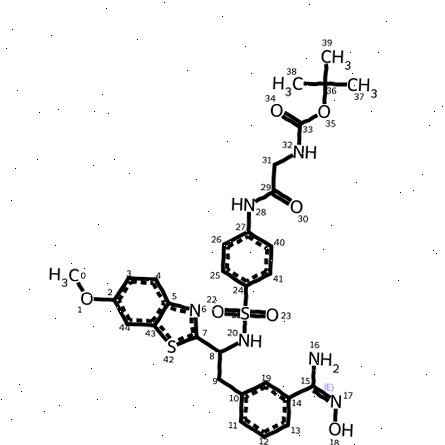 COc1ccc2nc(C(Cc3cccc(/C(N)=N\O)c3)NS(=O)(=O)c3ccc(NC(=O)CNC(=O)OC(C)(C)C)cc3)sc2c1